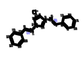 C(=N\n1cc[n+](/N=C/c2ccccc2)c1)/c1ccccc1.[Cl-]